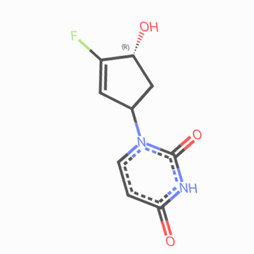 O=c1ccn(C2C=C(F)[C@H](O)C2)c(=O)[nH]1